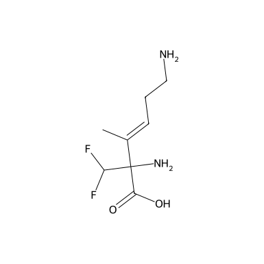 C/C(=C\CCN)C(N)(C(=O)O)C(F)F